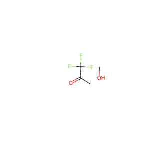 CC(=O)C(F)(F)F.CO